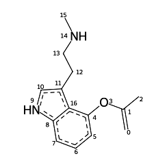 C=C(C)Oc1cccc2[nH]cc(CCNC)c12